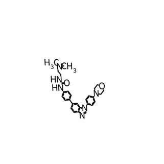 CN(C)CCNC(=O)Nc1ccc(-c2ccc3ncn(-c4ccc(N5CCOCC5)cc4)c3c2)cc1